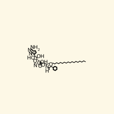 CCCCCCCCCCCCCCCCCCOC[C@H](COP(=O)(O)OC[C@@H](OC#N)[C@@H](O)[C@@H](O)c1ccc2c(N)ncnn12)NC(C)Cc1ccccc1